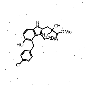 COC(=O)C(C)(C)Cc1[nH]c2ccc(O)c(Cc3ccc(Cl)cc3)c2c1CC(C)(C)C